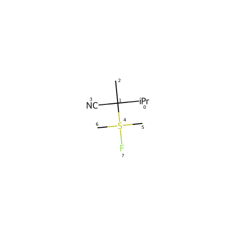 CC(C)C(C)(C#N)S(C)(C)F